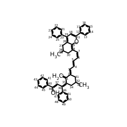 C=C1/C(=C/C=C/C=C\C2=C3OC(c4ccccc4)=CC(c4ccccc4)=C3CC(C)C2)CC(C)C/C1=C(/C=C(\O)c1ccccc1)c1ccccc1